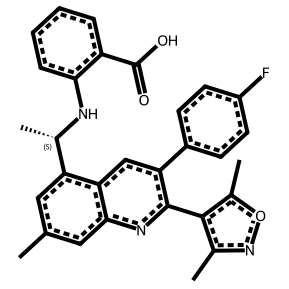 Cc1cc([C@H](C)Nc2ccccc2C(=O)O)c2cc(-c3ccc(F)cc3)c(-c3c(C)noc3C)nc2c1